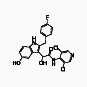 O=C(Nc1c(Cl)cncc1Cl)C(O)c1c(Cc2ccc(F)cc2)[nH]c2ccc(O)cc12